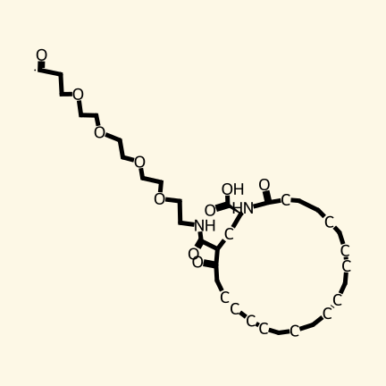 O=[C]CCOCCOCCOCCOCCNC(=O)C1C[C@@H](C(=O)O)NC(=O)CCCCCCCCCCCCCCCCCCC1=O